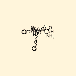 CC(C)[C@](NC(=O)OCc1ccccc1)(OCn1cnc2c(=O)[nH]c(N)nc21)C(=O)OCCCOCc1ccccc1